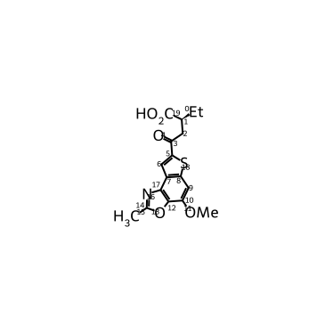 CC[C@@H](CC(=O)c1cc2c(cc(OC)c3oc(C)nc32)s1)C(=O)O